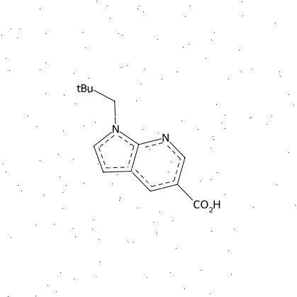 CC(C)(C)Cn1ccc2cc(C(=O)O)cnc21